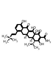 CN(C)[C@@H]1C(O)=C(C(N)=O)C(=O)[C@@]2(O)C(O)=C3C(=O)c4c(O)ccc(/C=C/S(C)(C)C)c4C[C@H]3C[C@@H]12